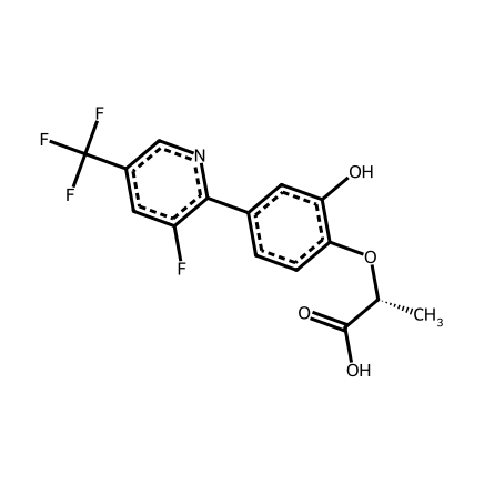 C[C@@H](Oc1ccc(-c2ncc(C(F)(F)F)cc2F)cc1O)C(=O)O